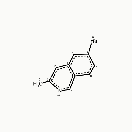 Cc1cc2cc(C(C)(C)C)ccc2cn1